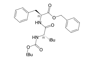 CCC(C)[C@H](NC(=O)OC(C)(C)C)C(=O)N[C@@H](Cc1ccccc1)C(=O)OCc1ccccc1